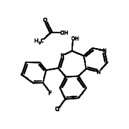 CC(=O)O.OC1N=C(c2ccccc2F)c2cc(Cl)ccc2-c2ncncc21